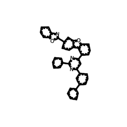 c1ccc(-c2cccc(-c3cc(-c4cccc5oc6cc(-c7nc8ccccc8o7)ccc6c45)nc(-c4ccccc4)n3)c2)cc1